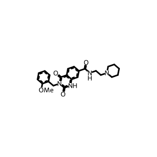 COc1ccccc1Cn1c(=O)[nH]c2cc(C(=O)NCCN3CCCCC3)ccc2c1=O